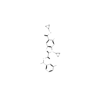 O=C(NC1CC1)c1cc2nc(C(=O)NC(c3cccc(C(F)(F)F)c3)C(F)(F)F)n(C3CC3)c2cc1Cl